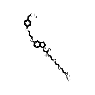 CCc1ccc(OCCCOc2ccc3c(c2)CC[C@H]3CC(=O)NCCOCCOCCN=[N+]=[N-])cc1